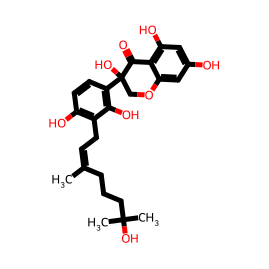 CC(=CCc1c(O)ccc(C2(O)COc3cc(O)cc(O)c3C2=O)c1O)CCCC(C)(C)O